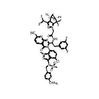 COc1ccc(CN(c2nn(C)c3c(-n4c(C(Cc5cc(F)cc(F)c5)NC(=O)Cn5nc(C(F)F)c6c5C(F)(F)[C@@H]5C[C@H]65)nc5nc(C#N)ccc5c4=O)ccc(Cl)c23)S(C)(=O)=O)cc1